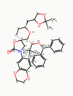 CC1(C)OCC(C[C@@H]2CC[C@@]3(CN(c4ccc5c(c4)OCCO5)C(=O)O3)[C@@H](C(O[SiH](c3ccccc3)c3ccccc3)C(C)(C)C)O2)O1